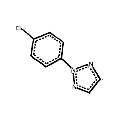 Clc1ccc(-n2n[c]cn2)cc1